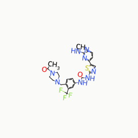 CNc1nccc(-c2cnc(NC(=O)Nc3ccc(CN4CCN(C(C)=O)CC4)c(C(F)(F)F)c3)s2)n1